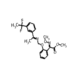 CO/N=C(/C(=O)OC)c1ccccc1OC/N=C(\C)c1cccc(C(C)(F)F)c1